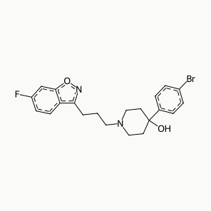 OC1(c2ccc(Br)cc2)CCN(CCCc2noc3cc(F)ccc23)CC1